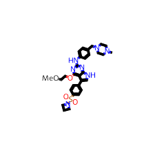 COCCOc1nc(Nc2ccc(CN3CCN(C)CC3)cc2)nc2[nH]cc(-c3ccc(S(=O)(=O)N4CCC4)cc3)c12